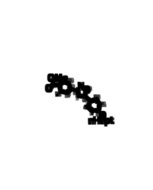 CCCCCCCOc1ccc(-c2cc(-c3ccc(C(=O)OC)cc3)no2)cc1